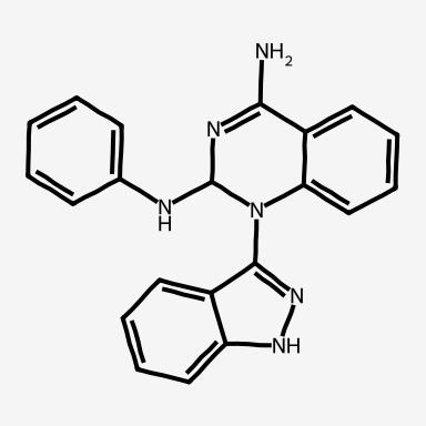 NC1=NC(Nc2ccccc2)N(c2n[nH]c3ccccc23)c2ccccc21